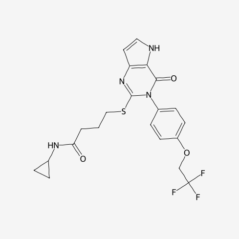 O=C(CCCSc1nc2cc[nH]c2c(=O)n1-c1ccc(OCC(F)(F)F)cc1)NC1CC1